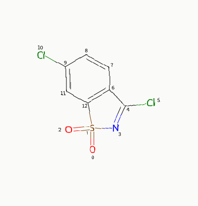 O=S1(=O)N=C(Cl)c2ccc(Cl)cc21